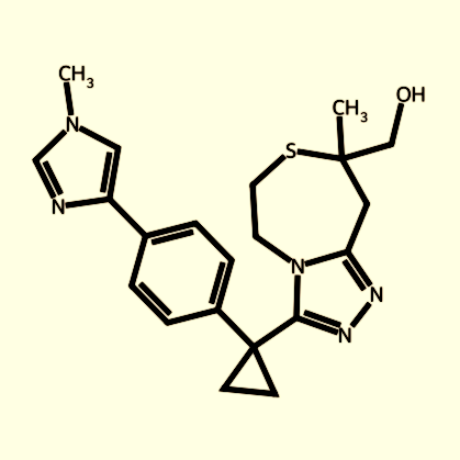 Cn1cnc(-c2ccc(C3(c4nnc5n4CCSC(C)(CO)C5)CC3)cc2)c1